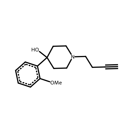 C#CCCN1CCC(O)(c2ccccc2OC)CC1